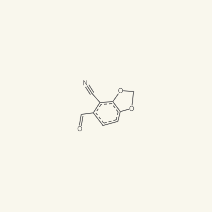 N#Cc1c(C=O)ccc2c1OCO2